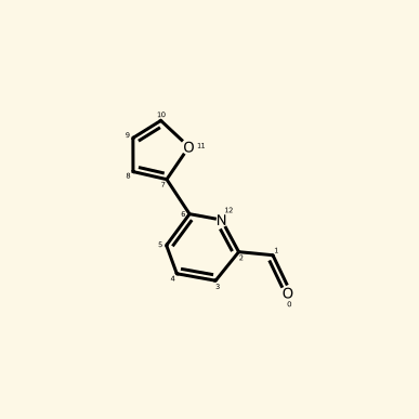 O=Cc1cccc(-c2ccco2)n1